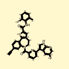 C#Cc1ccc2c(c1)N(C(=O)c1cccc(-c3c[nH]c4ncc(F)cc34)n1)CCc1cc(C(=O)Nc3c(C)cccc3F)sc1-2